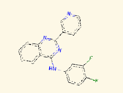 Fc1ccc(Nc2nc(-c3cccnc3)nc3ccccc23)cc1F